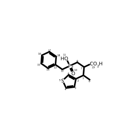 CC(c1ccsc1)C(CP(=O)(O)Cc1ccccc1)C(=O)O